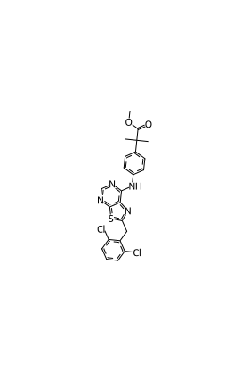 COC(=O)C(C)(C)c1ccc(Nc2ncnc3sc(Cc4c(Cl)cccc4Cl)nc23)cc1